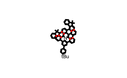 CC(C)(C)c1ccc(-c2cc(-c3ccccc3)c(N(c3ccc4c(c3)-c3ccccc3C4(C)C)c3ccc4ccccc4c3-c3ccccc3-c3cccc4c3-c3ccccc3C4(C)C)c(-c3ccccc3)c2)cc1